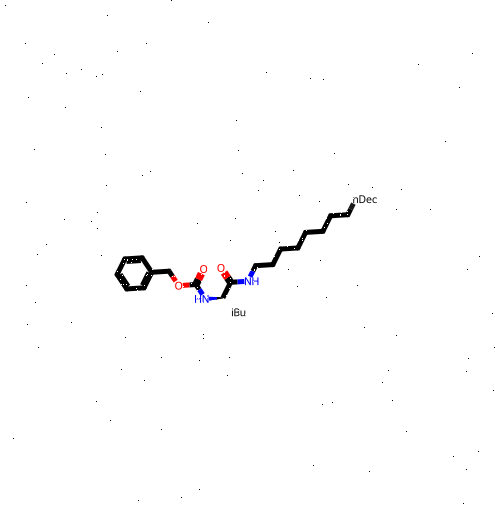 CCCCCCCCCCCCCCCCCCNC(=O)[C@H](NC(=O)OCc1ccccc1)[C@H](C)CC